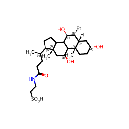 CC[C@H]1[C@@H](O)C2C3CC[C@H]([C@H](C)CCC(=O)NCCS(=O)(=O)O)[C@@]3(C)C[C@H](O)C2[C@@]2(C)CC[C@@H](O)C[C@@H]12